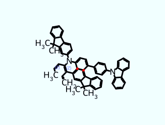 C=C/C(=C(\C=C/C)N(C1=CC=C(c2ccc(-n3c4ccccc4c4ccccc43)cc2)CC1)c1ccc2c(c1)C(C)(C)c1ccccc1-2)c1ccc2c(c1)C(C)(C)c1ccccc1-2